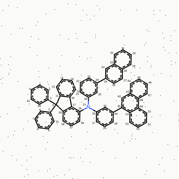 c1ccc(C2(c3ccccc3)c3ccccc3-c3c(N(c4cccc(-c5ccc6ccccc6c5)c4)c4cccc(-c5cc6ccccc6c6ccccc56)c4)cccc32)cc1